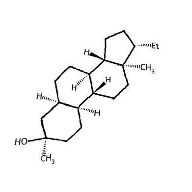 CC[C@H]1CC[C@H]2[C@@H]3CC[C@@H]4C[C@](C)(O)CC[C@@H]4[C@H]3CC[C@]12C